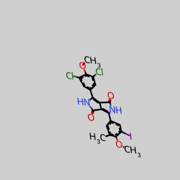 COc1c(Cl)cc(C2=C3C(=O)NC(c4cc(C)c(OC)c(I)c4)=C3C(=O)N2)cc1Cl